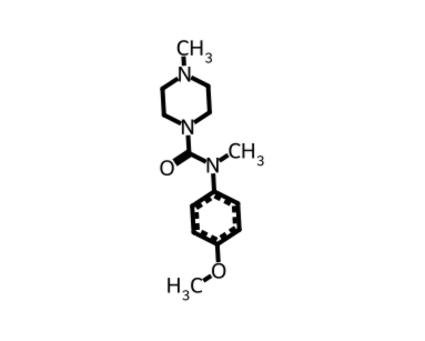 COc1ccc(N(C)C(=O)N2CCN(C)CC2)cc1